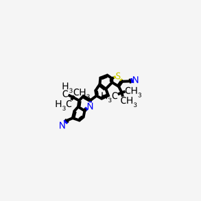 CC(C)(C)c1cc(-c2ccc3c(ccc4sc(C#N)c(C(C)(C)C)c43)c2)nc2ccc(C#N)cc12